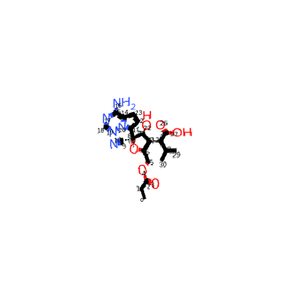 CCC(=O)OCC1O[C@@](C#N)(c2ccc3c(N)ncnn23)[C@H](O)[C@@H]1C(C(=O)O)C(C)C